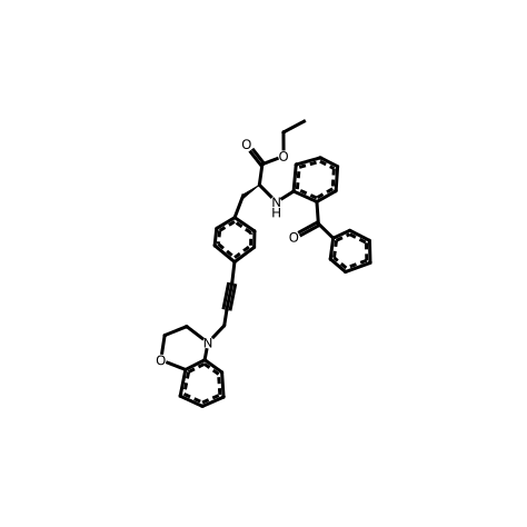 CCOC(=O)[C@H](Cc1ccc(C#CCN2CCOc3ccccc32)cc1)Nc1ccccc1C(=O)c1ccccc1